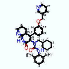 CC(C)c1cccc(C(C)C)c1NC(=O)N(CC1CCCCC1)c1c(-c2cccc(OCc3cccnc3)c2)c2cccnc2[nH]c1=O